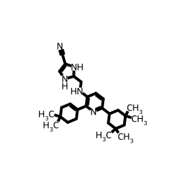 CC1(C)CC=C(c2nc(C3CC(C)(C)CC(C)(C)C3)ccc2NCC2NC=C(C#N)N2)CC1